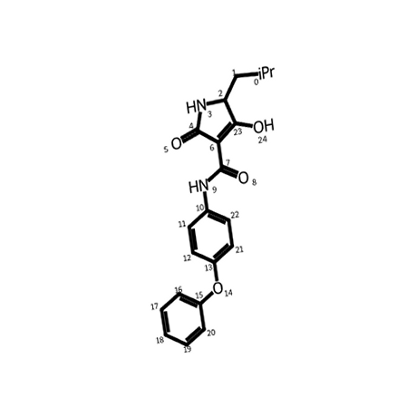 CC(C)CC1NC(=O)C(C(=O)Nc2ccc(Oc3ccccc3)cc2)=C1O